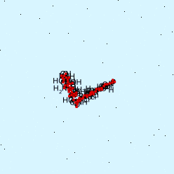 CCOC(=O)c1[nH]c2ccc(Br)cc2c1CCCC(=O)O.CN(C)c1cccc2c(S(=O)(=O)O)cccc12.Cc1ccc(NC(=O)c2c(Cl)c(Cl)c(Cl)c(Cl)c2C(=O)O)cc1Cl.Cc1cccc(C(=O)O)c1N.Nc1ccc(C(=O)NCC(=O)O)cc1.Nc1ccc2cc(S(=O)(=O)O)ccc2c1.O=C(O)Cc1c[nH]c2ccccc12.O=C(O)c1cccnc1O.O=S(=O)(O)CCCNc1ccccc1